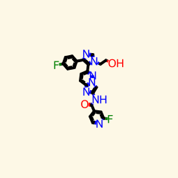 O=C(Nc1cn2nc(-c3c(-c4ccc(F)cc4)ncn3CCO)ccc2n1)c1ccnc(F)c1